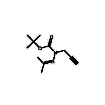 C#CCN(N=C(C)C)C(=O)OC(C)(C)C